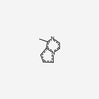 Cc1nccn2cccc12